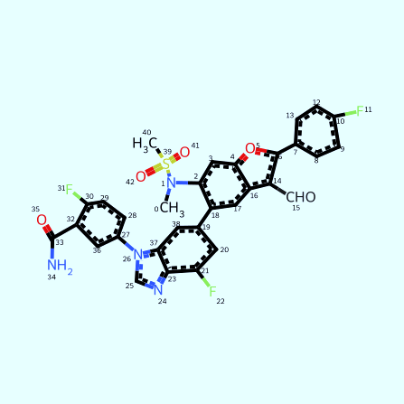 CN(c1cc2oc(-c3ccc(F)cc3)c(C=O)c2cc1-c1cc(F)c2ncn(-c3ccc(F)c(C(N)=O)c3)c2c1)S(C)(=O)=O